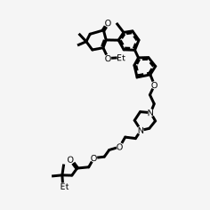 CCOC1=C(c2cc(-c3ccc(OCCN4CCN(CCOCCOCC(=O)CC(C)(C)CC)CC4)cc3)ccc2C)C(=O)CC(C)(C)C1